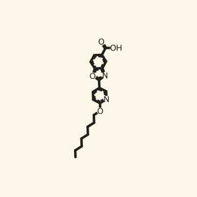 CCCCCCCCOc1ccc(-c2nc3cc(C(=O)O)ccc3o2)cn1